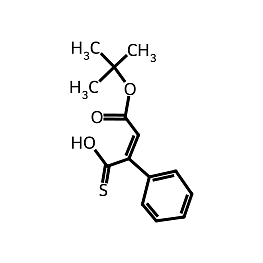 CC(C)(C)OC(=O)/C=C(\C(O)=S)c1ccccc1